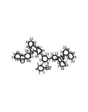 Brc1ccccc1-c1cc(-c2ccc3c(c2)c2ccccc2n3-c2cccc3ccccc23)cc(-c2ccc3c4ccccc4n(-c4ccc5oc6ccccc6c5c4)c3c2)c1